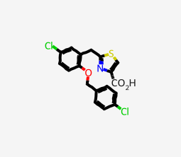 O=C(O)c1csc(Cc2cc(Cl)ccc2OCc2ccc(Cl)cc2)n1